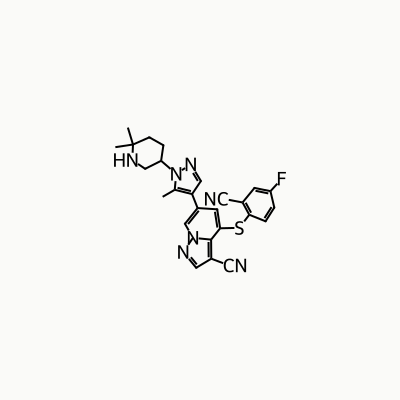 Cc1c(-c2cc(Sc3ccc(F)cc3C#N)c3c(C#N)cnn3c2)cnn1C1CCC(C)(C)NC1